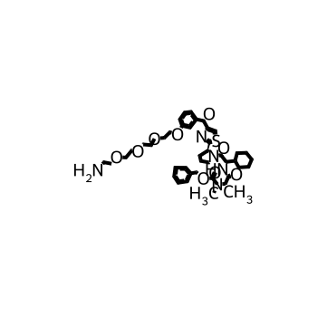 CC(C(=O)NC(C(=O)N1CCC[C@H]1c1nc(C(=O)c2cccc(OCCOCCOCCOCCN)c2)cs1)C1CCCCC1)N(C)C(=O)OCc1ccccc1